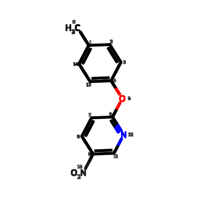 Cc1ccc(Oc2ccc([N+](=O)[O-])cn2)cc1